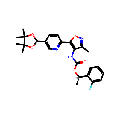 Cc1noc(-c2ccc(B3OC(C)(C)C(C)(C)O3)cn2)c1NC(=O)O[C@H](C)c1ccccc1F